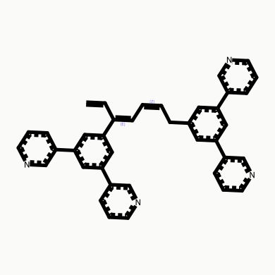 C=C/C(=C\C=C/Cc1cc(-c2cccnc2)cc(-c2cccnc2)c1)c1cc(-c2cccnc2)cc(-c2cccnc2)c1